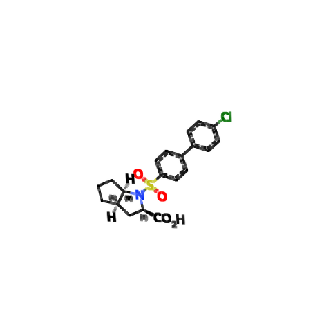 O=C(O)[C@H]1C[C@H]2CCC[C@H]2N1S(=O)(=O)c1ccc(-c2ccc(Cl)cc2)cc1